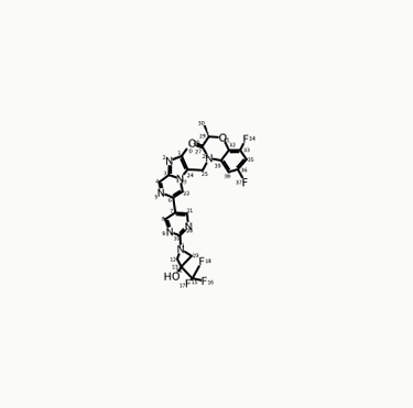 Cc1nc2cnc(-c3cnc(N4CC(O)(C(F)(F)F)C4)nc3)cn2c1CN1C(=O)[C@@H](C)Oc2c(F)cc(F)cc21